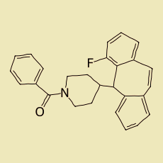 O=C(c1ccccc1)N1CCC(C2c3ccccc3C=Cc3cccc(F)c32)CC1